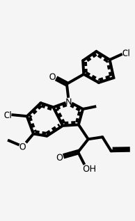 C=CCC(C(=O)O)c1c(C)n(C(=O)c2ccc(Cl)cc2)c2cc(Cl)c(OC)cc12